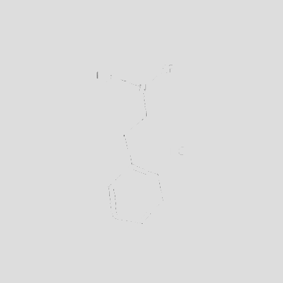 Cl.FC(F)(F)N(CCc1ccccc1)C(F)(F)F